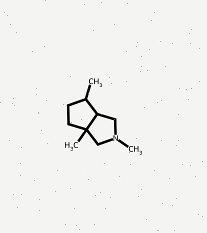 CC1CCC2(C)CN(C)CC12